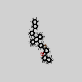 c1cc(-c2ccc3ccccc3c2)cc(-c2c3ccccc3c(-c3ccc4c(c3)sc3ccc5c(oc6ccc7ccccc7c65)c34)c3ccccc23)c1